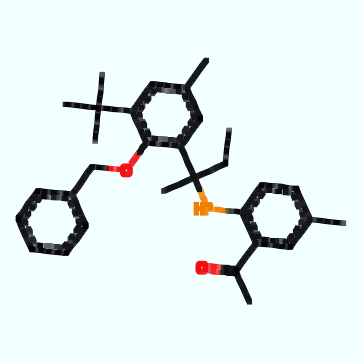 CCC(C)(Pc1ccc(C)cc1C(C)=O)c1cc(C)cc(C(C)(C)C)c1OCc1ccccc1